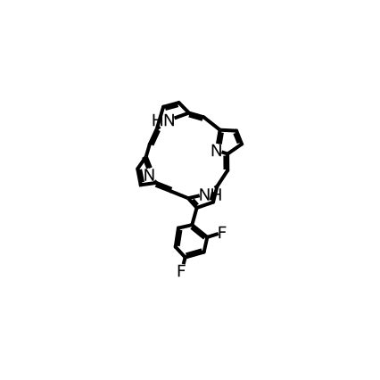 Fc1ccc(-c2cc3cc4nc(cc5ccc(cc6nc(cc2[nH]3)C=C6)[nH]5)C=C4)c(F)c1